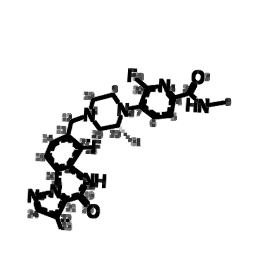 CNC(=O)c1ccc(N2CCN(Cc3ccc4c([nH]c(=O)c5c(C)cnn54)c3F)C[C@H]2C)c(F)n1